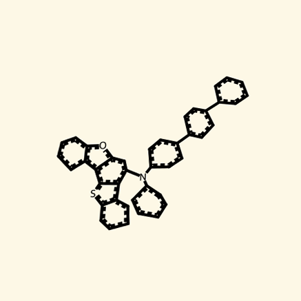 c1ccc(-c2ccc(-c3ccc(N(c4ccccc4)c4cc5oc6ccccc6c5c5sc6ccccc6c45)cc3)cc2)cc1